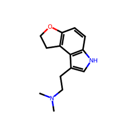 CN(C)CCc1c[nH]c2ccc3c(c12)CCO3